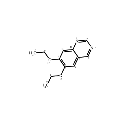 CCOc1cc2[c]ncnc2cc1OCC